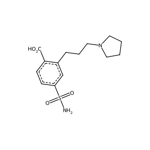 NS(=O)(=O)c1ccc(C(=O)O)c(CCCN2CCCC2)c1